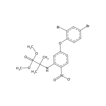 COP(=O)(OC)C(C)(C)Nc1cc(Oc2ccc(Br)cc2Br)ccc1[N+](=O)[O-]